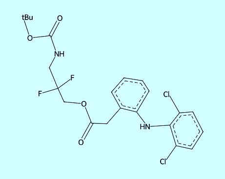 CC(C)(C)OC(=O)NCC(F)(F)COC(=O)Cc1ccccc1Nc1c(Cl)cccc1Cl